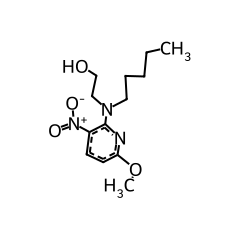 CCCCCN(CCO)c1nc(OC)ccc1[N+](=O)[O-]